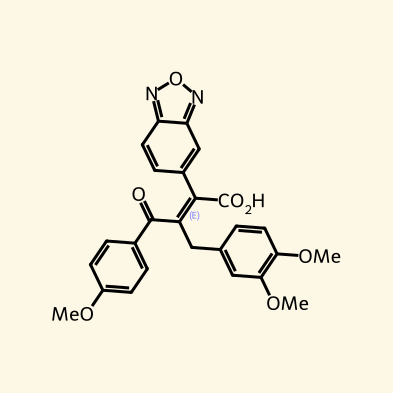 COc1ccc(C(=O)/C(Cc2ccc(OC)c(OC)c2)=C(/C(=O)O)c2ccc3nonc3c2)cc1